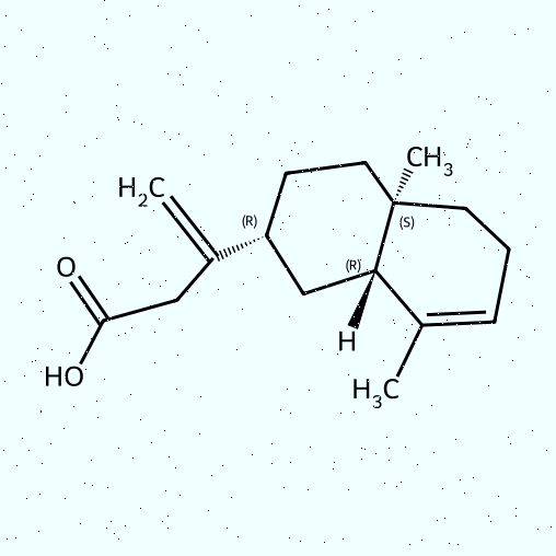 C=C(CC(=O)O)[C@@H]1CC[C@@]2(C)CCC=C(C)[C@@H]2C1